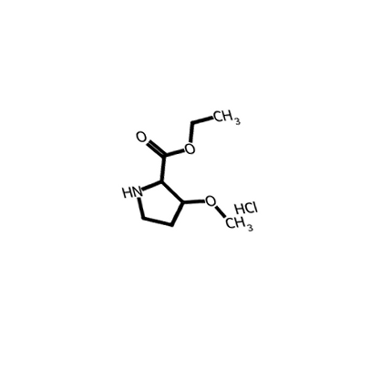 CCOC(=O)C1NCCC1OC.Cl